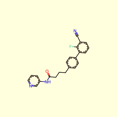 N#Cc1cccc(-c2ccc(CCCC(=O)Nc3cccnc3)cc2)c1F